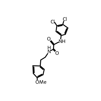 COc1ccc(CCNC(=O)C(=O)Nc2ccc(Cl)c(Cl)c2)cc1